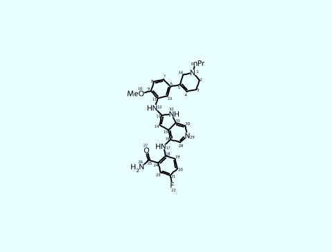 CCCN1CCC=C(c2ccc(OC)c(Nc3cc4c(Nc5ccc(F)cc5C(N)=O)cncc4[nH]3)c2)C1